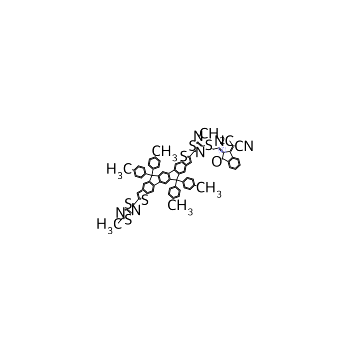 C=Nc1sc(-c2cc3cc4c(cc3s2)-c2cc3c(cc2C4(c2ccc(C)cc2)c2ccc(C)cc2)-c2cc4sc(-c5nc6sc(C)nc6s5)cc4cc2C3(c2ccc(C)cc2)c2ccc(C)cc2)nc1SC/C=C1\C(=O)c2ccccc2C1=C(C#N)C#N